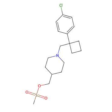 CS(=O)(=O)OCC1CCN(CC2(c3ccc(Cl)cc3)CCC2)CC1